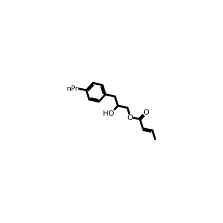 CC=CC(=O)OCC(O)Cc1ccc(CCC)cc1